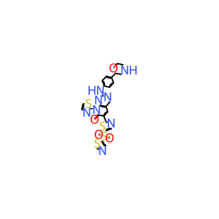 O=c1c(-c2ncc(S(=O)(=O)c3cncs3)s2)cc2cnc(Nc3ccc(C4CNCCO4)cc3)nc2n1-c1nccs1